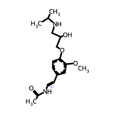 COc1cc(/C=C/NC(C)=O)ccc1OCC(O)CNC(C)C